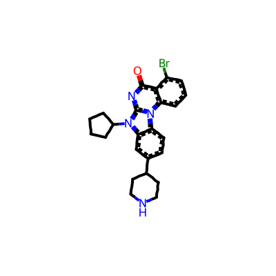 O=c1nc2n(C3CCCC3)c3cc(C4CCNCC4)ccc3n2c2cccc(Br)c12